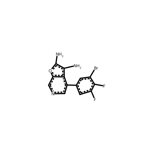 Nc1oc2cncc(-c3cc(F)c(F)c(Br)c3)c2c1N